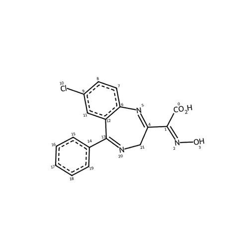 O=C(O)/C(=N\O)C1=Nc2ccc(Cl)cc2C(c2ccccc2)=NC1